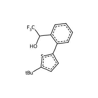 CC(C)(C)c1ccc(-c2ccccc2C(O)C(F)(F)F)s1